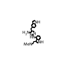 CNCCc1c[nH]c2cccc(Nc3ncc(Cc4ccc5[nH]ccc5c4)c(N)n3)c12